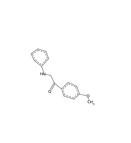 COc1ccc(C(=O)CNc2ccccc2)cc1